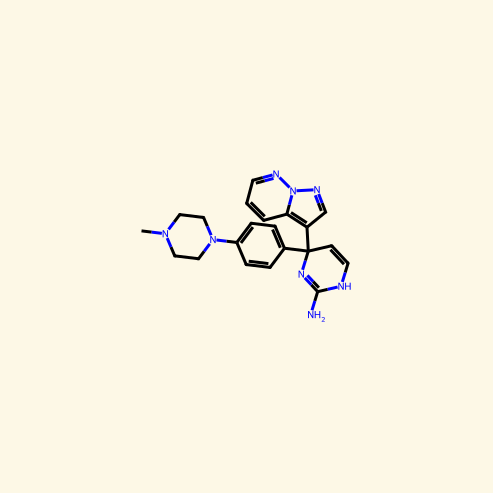 CN1CCN(c2ccc(C3(c4cnn5ncccc45)C=CNC(N)=N3)cc2)CC1